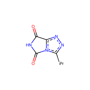 CC(C)c1nnc2n1C(=O)NC2=O